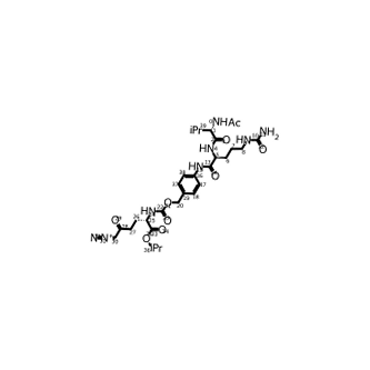 CC(=O)N[C@H](C(=O)N[C@@H](CCCNC(N)=O)C(=O)Nc1ccc(COC(=O)N[C@@H](CCC(=O)C=[N+]=[N-])C(=O)OC(C)C)cc1)C(C)C